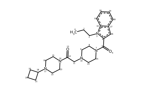 CCCn1c(C(=O)N2CCN(CC(=O)N3CCN(C4CCC4)CC3)CC2)cc2ccccc21